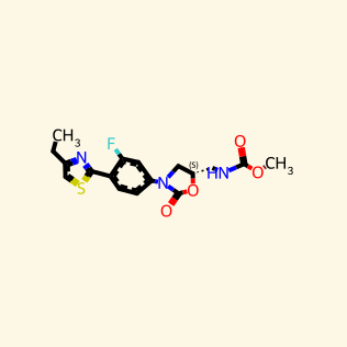 CCc1csc(-c2ccc(N3C[C@H](CNC(=O)OC)OC3=O)cc2F)n1